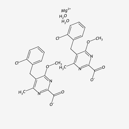 COc1nc(C(=O)[O-])nc(C)c1Cc1ccccc1Cl.COc1nc(C(=O)[O-])nc(C)c1Cc1ccccc1Cl.O.O.[Mg+2]